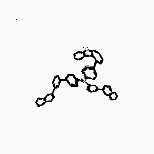 c1cc(-c2ccc(N(c3ccc(-c4cccc5sc6ccccc6c45)cc3)c3cccc(-c4ccc5ccccc5c4)c3)cc2)cc(-c2ccc3ccccc3c2)c1